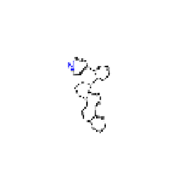 c1ccc(C2CCCc3c2ccc2c3ccc3ccccc32)c(-c2ccncc2)c1